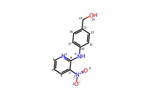 O=[N+]([O-])c1cccnc1Nc1ccc(CO)cc1